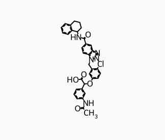 CC(=O)Nc1cccc(C(Oc2ccc(Cl)c(Cn3nnc4cc(C(=O)NC5CCCc6ccccc65)ccc43)c2)C(=O)O)c1